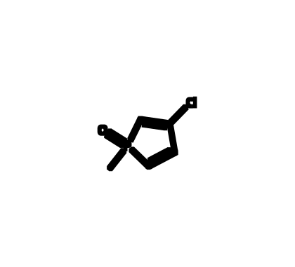 CP1(=O)C=CC(Cl)=C1